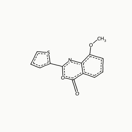 COc1cccc2c(=O)oc(-c3cccs3)nc12